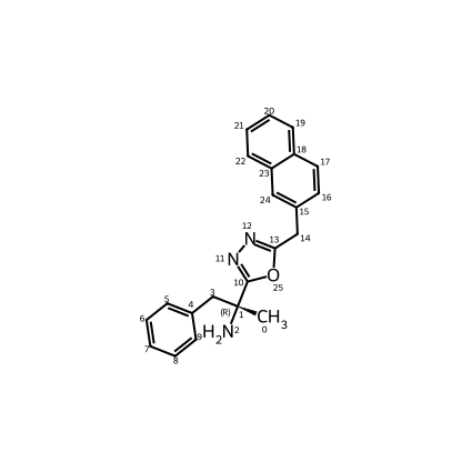 C[C@@](N)(Cc1ccccc1)c1nnc(Cc2ccc3ccccc3c2)o1